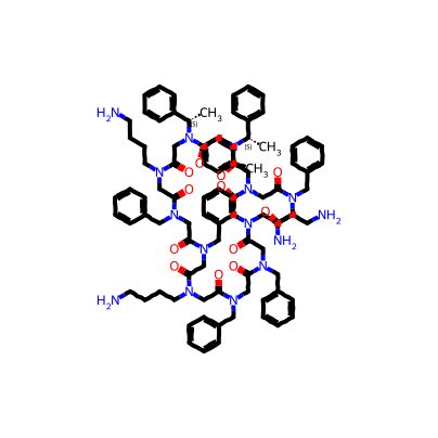 CC(=O)N(CC(=O)N(CC(=O)N(CCCCN)CC(=O)N(CC(=O)N(CC(=O)N(CCCCN)CC(=O)N(CC(=O)N(CC(=O)N(CCCCN)CC(=O)N(CC(=O)N(CC(N)=O)Cc1ccccc1)Cc1ccccc1)Cc1ccccc1)Cc1ccccc1)Cc1ccccc1)Cc1ccccc1)[C@@H](C)c1ccccc1)[C@@H](C)c1ccccc1